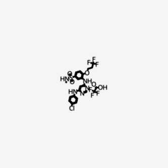 CNS(=O)(=O)c1ccc(OCCC(F)(F)F)c(Nc2cc(Nc3ccc(Cl)cc3)ncn2)c1.O=C(O)C(F)(F)F